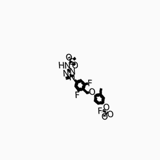 Cc1cc(OS(=O)(=O)F)ccc1OCc1c(F)cc(-n2cnc(NS(C)(=O)=O)n2)cc1F